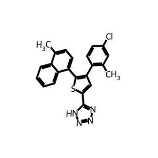 Cc1cc(Cl)ccc1-c1cc(-c2nnn[nH]2)sc1-c1ccc(C)c2ccccc12